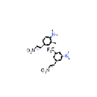 CN(C)c1cc(/C=C/[N+](=O)[O-])cc(C(F)(F)F)c1.Cc1cc(/C=C/[N+](=O)[O-])ccc1N(C)C